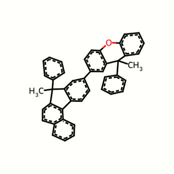 CC1(c2ccccc2)c2ccccc2Oc2ccc(-c3ccc4c(c3)C(C)(c3ccccc3)c3ccc5ccccc5c3-4)cc21